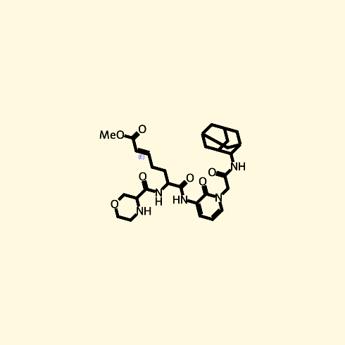 COC(=O)/C=C/CCC(NC(=O)C1COCCN1)C(=O)Nc1cccn(CC(=O)NC2C3CC4CC(C3)CC2C4)c1=O